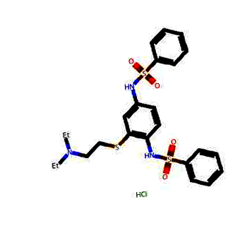 CCN(CC)CCSc1cc(NS(=O)(=O)c2ccccc2)ccc1NS(=O)(=O)c1ccccc1.Cl